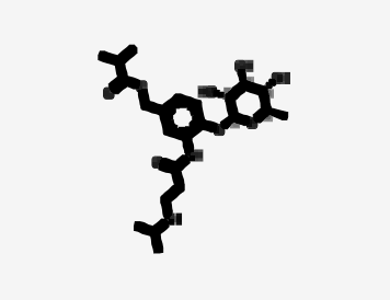 CC(C)NCCC(=O)Nc1cc(COC(=O)C(C)C)ccc1O[C@@H]1O[C@H](C)[C@@H](O)[C@H](O)[C@H]1O